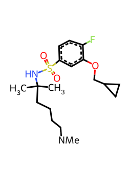 CNCCCCC(C)(C)NS(=O)(=O)c1ccc(F)c(OCC2CC2)c1